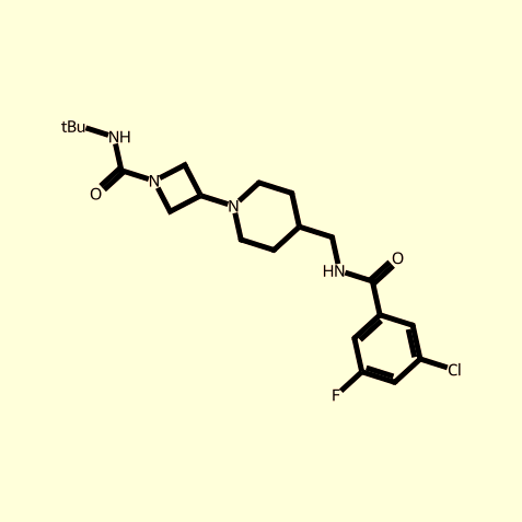 CC(C)(C)NC(=O)N1CC(N2CCC(CNC(=O)c3cc(F)cc(Cl)c3)CC2)C1